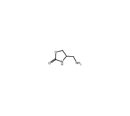 NCC1COC(=O)N1